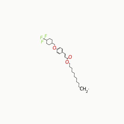 [CH2]CCCCCCCCCCOC(=O)/C=C/c1ccc(OCC2CCC(C(F)(F)F)CC2)cc1